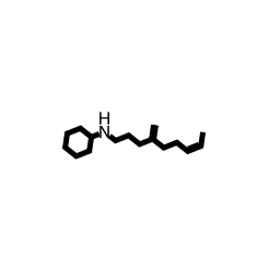 C=C(CC/C=C\C)CCCNC1CCCCC1